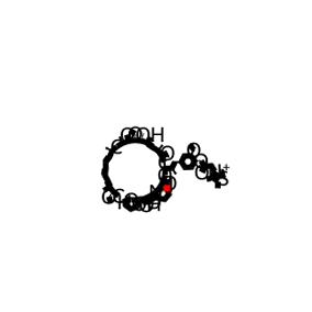 CO[C@H]1C[C@@H]2CC[C@@H](C)[C@@](O)(O2)C(=O)C(=O)N2CCCC[C@H]2C(=O)O[C@H]([C@H](C)C[C@@H]2CC[C@@H](OC(=O)C[n+]3csc(C)c3C)[C@H](OC)C2)CC(=O)[C@H](C)/C=C(\C)[C@@H](O)[C@@H](OC)C(=O)[C@H](C)C[C@H](C)/C=C/C=C/C=C/1C